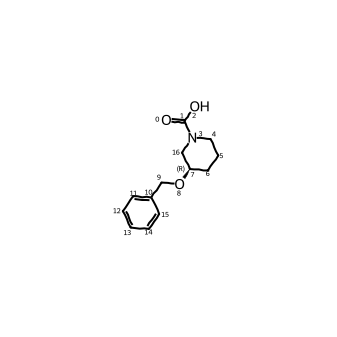 O=C(O)N1CCC[C@@H](OCc2ccccc2)C1